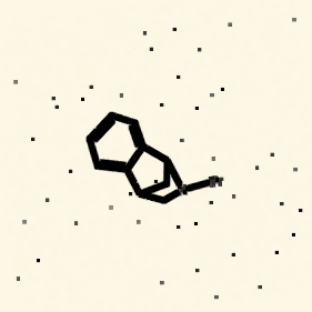 CC(C)N1CC2CC1c1ccccc12